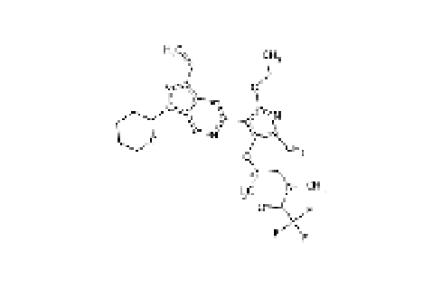 C=Cc1nn(C2CCCCO2)c2cnc(-c3c(OCC)nn(C)c3O[C@@H](C)CN(C)C(=O)C(F)(F)F)cc12